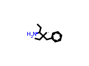 [CH2]C(CC)(Cc1ccccc1)C(N)CC